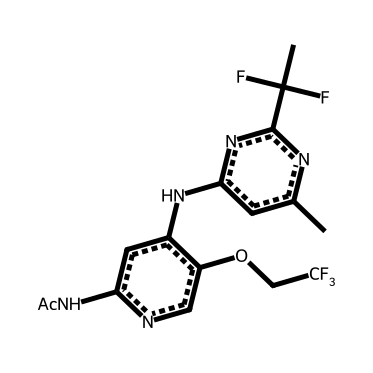 CC(=O)Nc1cc(Nc2cc(C)nc(C(C)(F)F)n2)c(OCC(F)(F)F)cn1